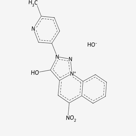 Cc1ccc(-n2n[n+]3c(cc([N+](=O)[O-])c4ccccc43)c2O)cn1.[OH-]